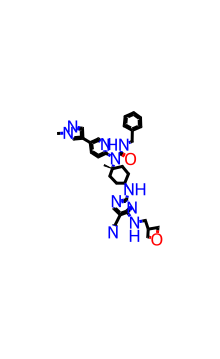 Cn1cc(-c2ccc(N(C(=O)NCc3ccccc3)[C@]3(C)CC[C@H](Nc4ncc(C#N)c(NCC5COC5)n4)CC3)nc2)cn1